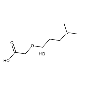 CN(C)CCCOCC(=O)O.Cl